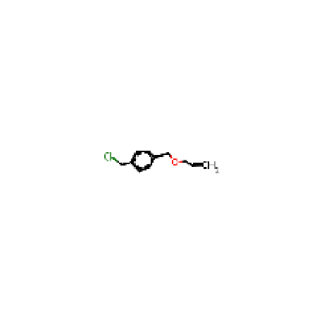 C=CCOCc1ccc(CCl)cc1